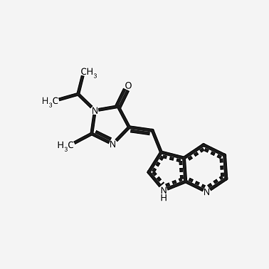 CC1=NC(=Cc2c[nH]c3ncccc23)C(=O)N1C(C)C